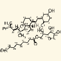 C=C1CC[C@H](O)C/C1=C/C=C1\CCC[C@]2(C)[C@@H]([C@H](C)/C=C/[C@H](C)C(C)C)CC[C@@H]12.CCCCCCCCCCCCCCCCCC(=O)OC[C@@H](O)[C@H]1OC[C@H](O)[C@H]1O